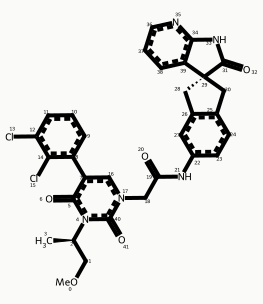 COC[C@@H](C)n1c(=O)c(-c2cccc(Cl)c2Cl)cn(CC(=O)Nc2ccc3c(c2)C[C@@]2(C3)C(=O)Nc3ncccc32)c1=O